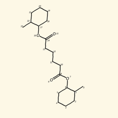 CC1CCCCC1OC(=O)CCCCC(=O)OC1CCCCC1C